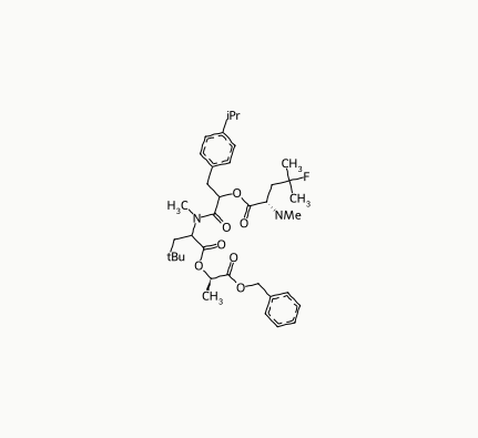 CN[C@@H](CC(C)(C)F)C(=O)OC(Cc1ccc(C(C)C)cc1)C(=O)N(C)C(CC(C)(C)C)C(=O)O[C@H](C)C(=O)OCc1ccccc1